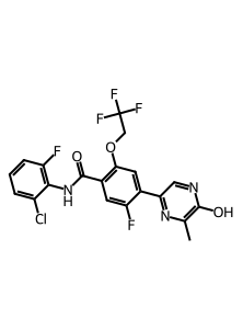 Cc1nc(-c2cc(OCC(F)(F)F)c(C(=O)Nc3c(F)cccc3Cl)cc2F)cnc1O